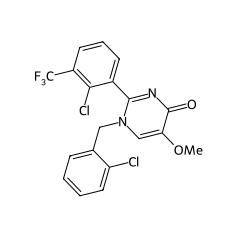 COc1cn(Cc2ccccc2Cl)c(-c2cccc(C(F)(F)F)c2Cl)nc1=O